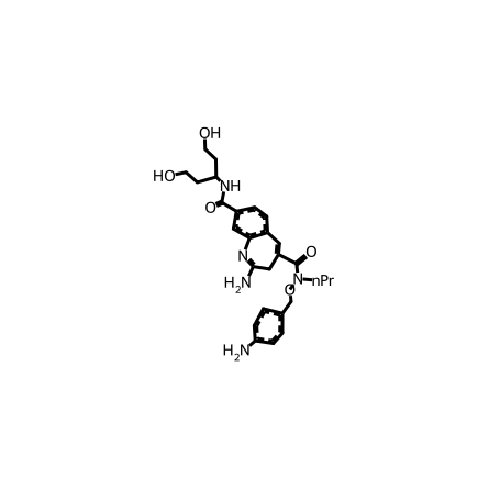 CCCN(OCc1ccc(N)cc1)C(=O)C1=Cc2ccc(C(=O)NC(CCO)CCO)cc2N=C(N)C1